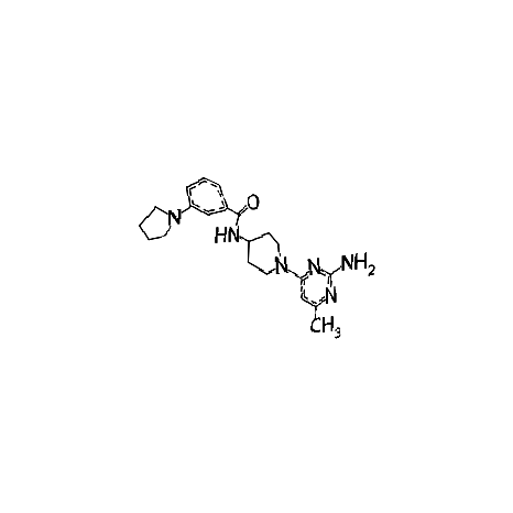 Cc1cc(N2CCC(NC(=O)c3cccc(N4CCCC4)c3)CC2)nc(N)n1